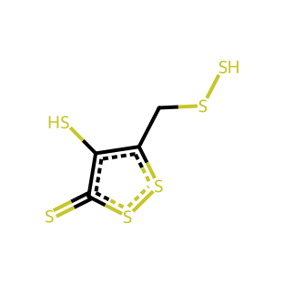 S=c1ssc(CSS)c1S